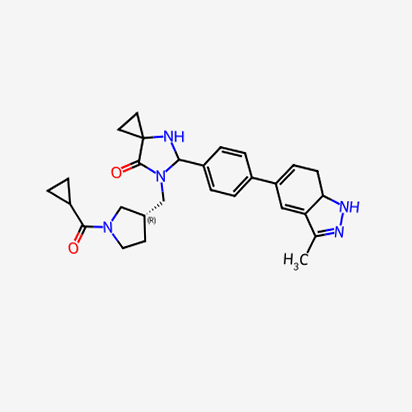 CC1=NNC2CC=C(c3ccc(C4NC5(CC5)C(=O)N4C[C@@H]4CCN(C(=O)C5CC5)C4)cc3)C=C12